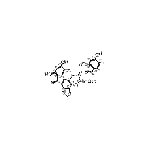 CCCCCCCC[S+]([O-])C(C)Cc1ccc2c(c1)OCO2.Cc1cc(C=S)c(O)cc1O.Cc1cc(C=S)c(O)cc1O